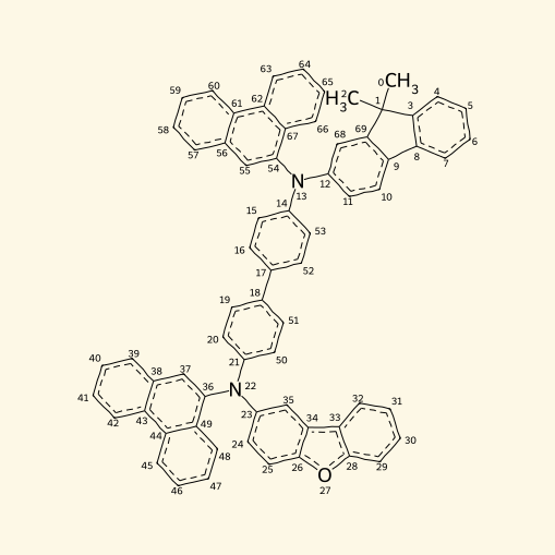 CC1(C)c2ccccc2-c2ccc(N(c3ccc(-c4ccc(N(c5ccc6oc7ccccc7c6c5)c5cc6ccccc6c6ccccc56)cc4)cc3)c3cc4ccccc4c4ccccc34)cc21